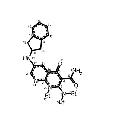 CCN(CC)c1c(C(N)=O)c(=O)c2cc(NC3Cc4ccccc4C3)cnc2n1CC